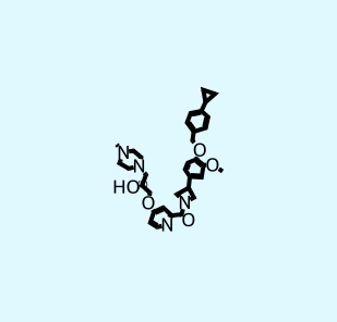 COc1cc(C2CN(C(=O)c3cc(OC[C@H](O)CN4CCN(C)CC4)ccn3)C2)ccc1OCc1ccc(C2CC2)cc1